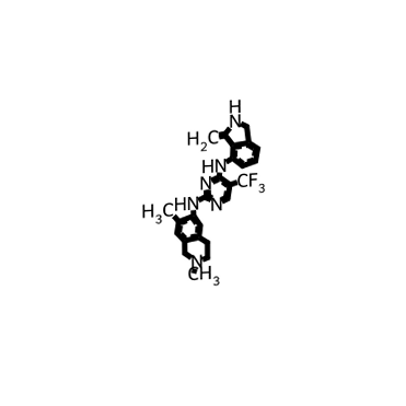 C=C1NCc2cccc(Nc3nc(Nc4cc5c(cc4C)CN(C)CC5)ncc3C(F)(F)F)c21